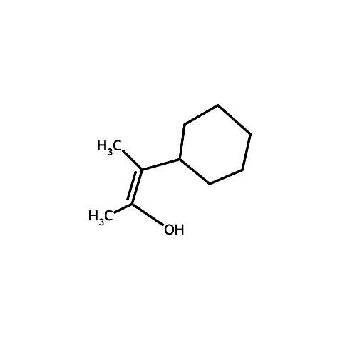 CC(O)=C(C)C1CCCCC1